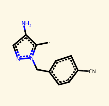 [CH2]c1c(N)cnn1Cc1ccc(C#N)cc1